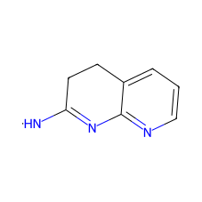 [NH]C1=Nc2ncccc2CC1